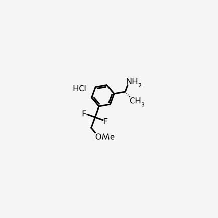 COCC(F)(F)c1cccc([C@@H](C)N)c1.Cl